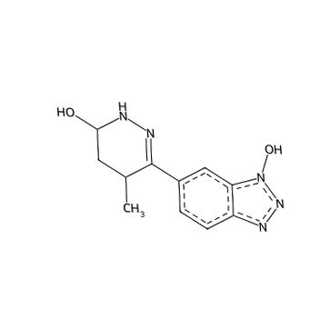 CC1CC(O)NN=C1c1ccc2nnn(O)c2c1